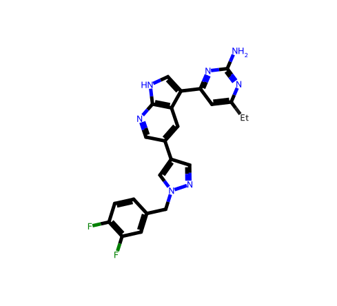 CCc1cc(-c2c[nH]c3ncc(-c4cnn(Cc5ccc(F)c(F)c5)c4)cc23)nc(N)n1